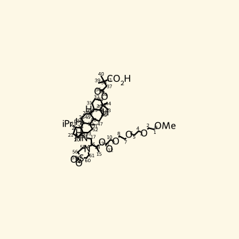 COCCOCCOCCOCC(=O)OC(C)C(CN[C@]12CC[C@@H](C(C)C)[C@@H]1[C@H]1CC[C@@H]3[C@@]4(C)CC[C@H](OC(=O)CC(C)(C)C(=O)O)C(C)(C)[C@@H]4CC[C@@]3(C)[C@]1(C)CC2)N1CCS(=O)(=O)CC1